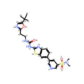 CN(C)S(=O)(=O)c1cncc(-c2ccc3nc(NC(=O)NCCc4ncc(C(C)(C)C)o4)sc3c2)c1